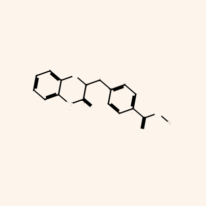 CC(C)OC(=O)c1ccc(CC2Sc3ccccc3NC2=O)cc1